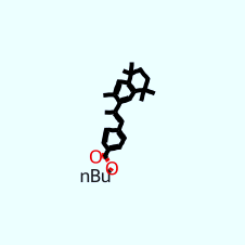 CCCCOC(=O)c1ccc(C=C(C)c2cc3c(cc2C)C(C)(C)CCC3(C)C)cc1